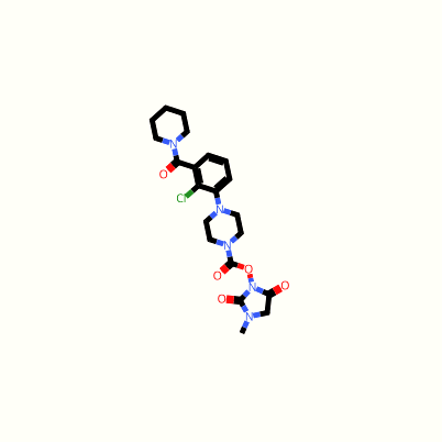 CN1CC(=O)N(OC(=O)N2CCN(c3cccc(C(=O)N4CCCCC4)c3Cl)CC2)C1=O